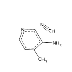 C#N.Cc1ccncc1N